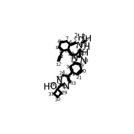 [2H]C([2H])([2H])N1C=c2cccc(C#C)c2=C2C[C@@H]1c1nc3ccc(-c4cnc(C5(O)CCC5)nc4)cc3n12